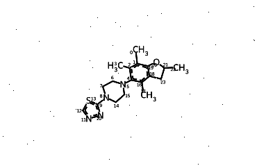 Cc1c(C)c(N2CCN(c3nncs3)CC2)c(C)c2c1OC(C)C2